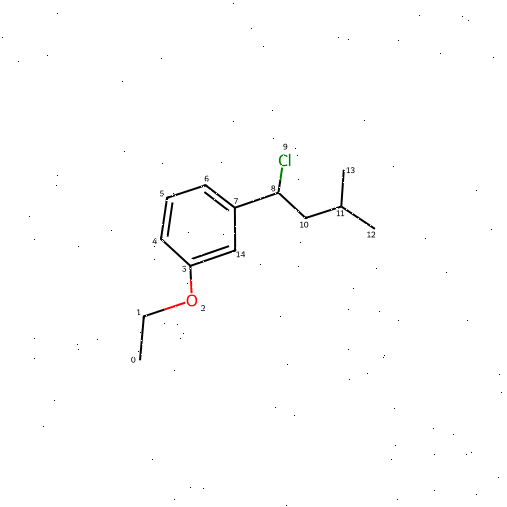 CCOc1cccc(C(Cl)CC(C)C)c1